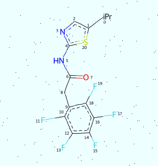 CC(C)c1cnc(NC(=O)Cc2c(F)c(F)c(F)c(F)c2F)s1